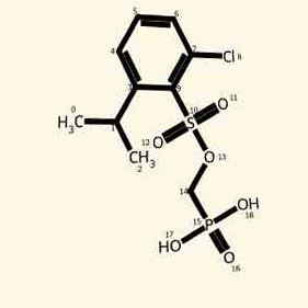 CC(C)c1cccc(Cl)c1S(=O)(=O)OCP(=O)(O)O